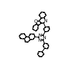 c1ccc(-c2cccc(-c3nc(-c4cccc(-c5nc6ccccc6c6oc7ccccc7c56)c4)nc(-c4ccc5c(ccc6ccccc65)c4)n3)c2)cc1